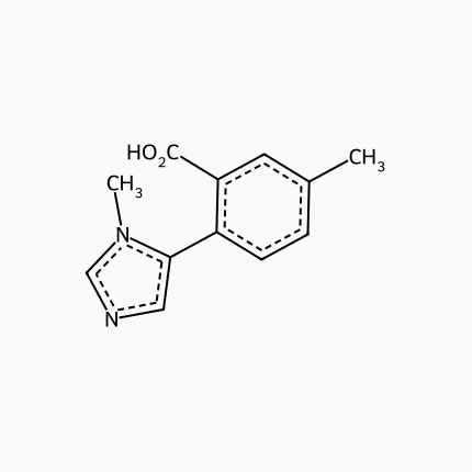 Cc1ccc(-c2cncn2C)c(C(=O)O)c1